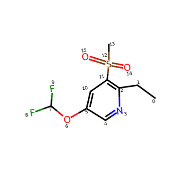 CCc1ncc(OC(F)F)cc1S(C)(=O)=O